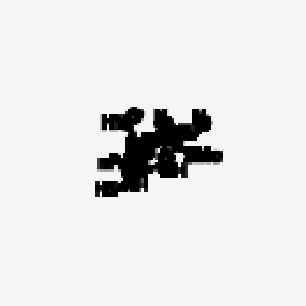 CCCN(CC(=O)N(CCc1c[nH]c2ccccc12)CC(=O)NCCS)C(=O)CN(CCc1c[nH]c2ccccc12)C(=O)CN(C)C(=O)CN(Cc1cccnc1)C(=O)CN(CCSC)C(=O)CNCc1cccnc1